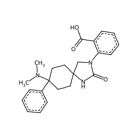 CN(C)C1(c2ccccc2)CCC2(CC1)CN(c1ccccc1C(=O)O)C(=O)N2